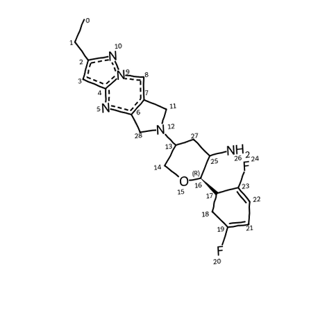 CCc1cc2nc3c(cn2n1)CN(C1CO[C@H](C2CC(F)=CC=C2F)C(N)C1)C3